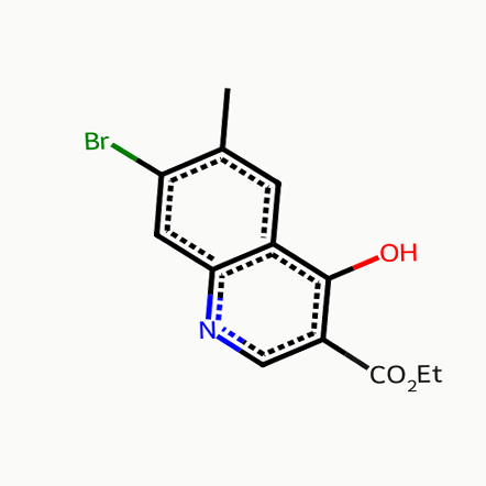 CCOC(=O)c1cnc2cc(Br)c(C)cc2c1O